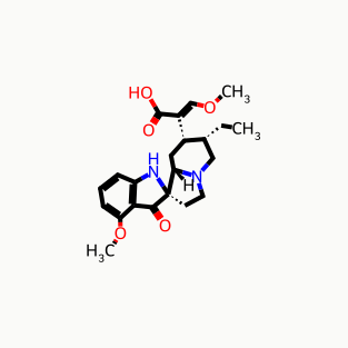 CC[C@@H]1CN2CC[C@]3(Nc4cccc(OC)c4C3=O)[C@@H]2C[C@@H]1/C(=C\OC)C(=O)O